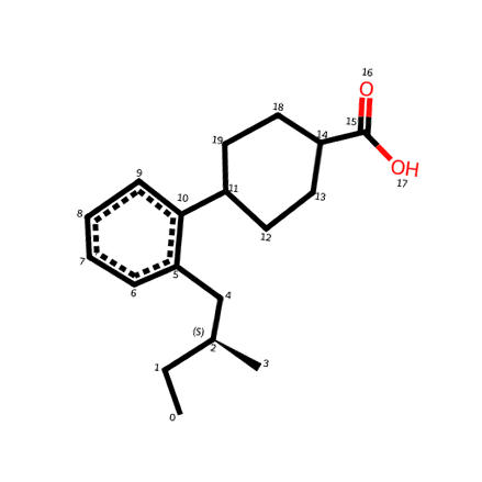 CC[C@H](C)Cc1ccccc1C1CCC(C(=O)O)CC1